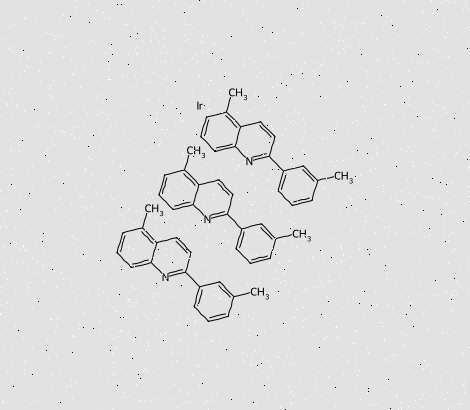 Cc1cccc(-c2ccc3c(C)cccc3n2)c1.Cc1cccc(-c2ccc3c(C)cccc3n2)c1.Cc1cccc(-c2ccc3c(C)cccc3n2)c1.[Ir]